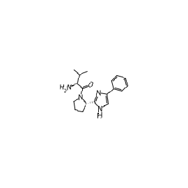 CC(C)[C@H](N)C(=O)N1CCC[C@H]1c1nc(-c2ccccc2)c[nH]1